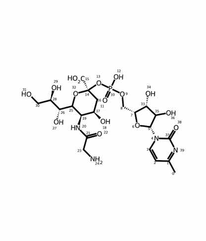 Cc1ccn([C@@H]2O[C@H](COP(=O)(O)O[C@@]3(C(=O)O)C[C@@H](O)[C@@H](NC(=O)CN)C([C@H](O)[C@H](O)CO)O3)[C@H](O)C2O)c(=O)n1